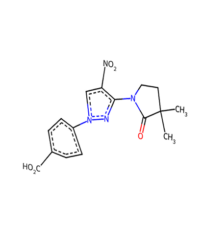 CC1(C)CCN(c2nn(-c3ccc(C(=O)O)cc3)cc2[N+](=O)[O-])C1=O